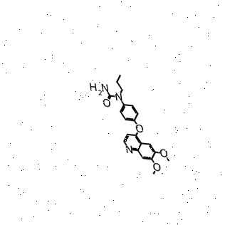 CCCN(C(N)=O)c1ccc(Oc2ccnc3cc(OC)c(OC)cc23)cc1